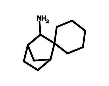 NC1C2CCC(C2)C12CCCCC2